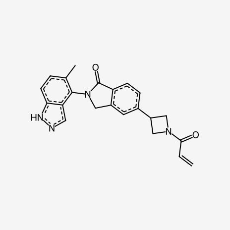 C=CC(=O)N1CC(c2ccc3c(c2)CN(c2c(C)ccc4[nH]ncc24)C3=O)C1